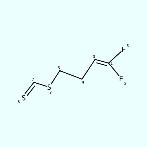 FC(F)=CCCSC=S